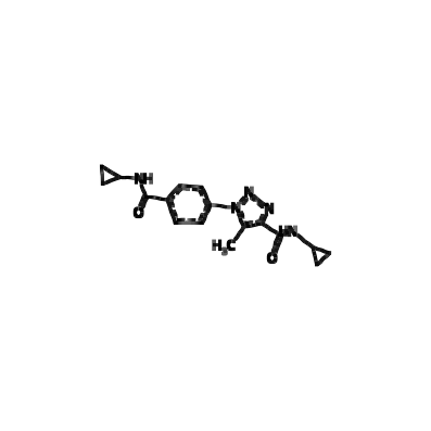 Cc1c(C(=O)NC2CC2)nnn1-c1ccc(C(=O)NC2CC2)cc1